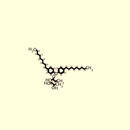 C=CC(=O)O.CC(O)CO.CCCCCCCCCc1ccc(Oc2ccc(CCCCCCCCC)cc2)cc1